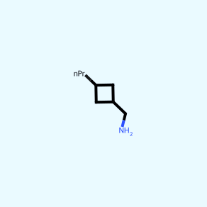 CCCC1CC(CN)C1